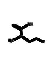 CN(CCBr)C([NH])=O